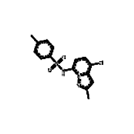 Cc1ccc(S(=O)(=O)Nc2ccc(Cl)c3cc(C)nn23)cc1